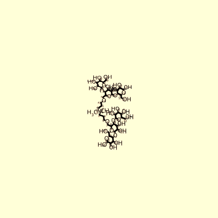 C[N+](C)(CCCOCC1OC(OC2C(CO)OC(O)C(O)C2O)C(O)C(O)C1OC1OC(CO)C(O)C(O)C1O)CCCOCC1OC(OC2C(CO)OC(O)C(O)C2O)C(O)C(O)C1OC1OC(CO)C(O)C(O)C1O